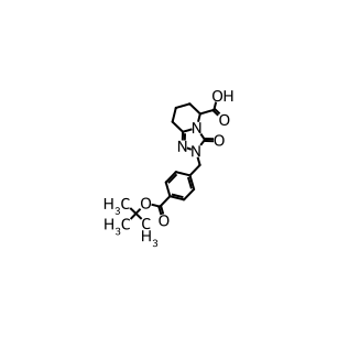 CC(C)(C)OC(=O)c1ccc(Cn2nc3n(c2=O)C(C(=O)O)CCC3)cc1